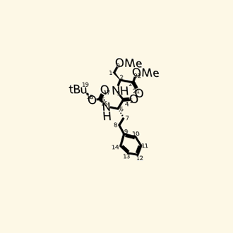 COC[C@H](NC(=O)[C@H](CCc1ccccc1)NC(=O)OC(C)(C)C)C(=O)OC